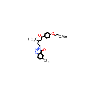 COCCOc1ccc(C(=O)CC(CCn2nnc3ccc(C(F)(F)F)cc3c2=O)C(=O)O)cc1